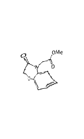 COC(=O)CN1C(=O)COc2ccccc21